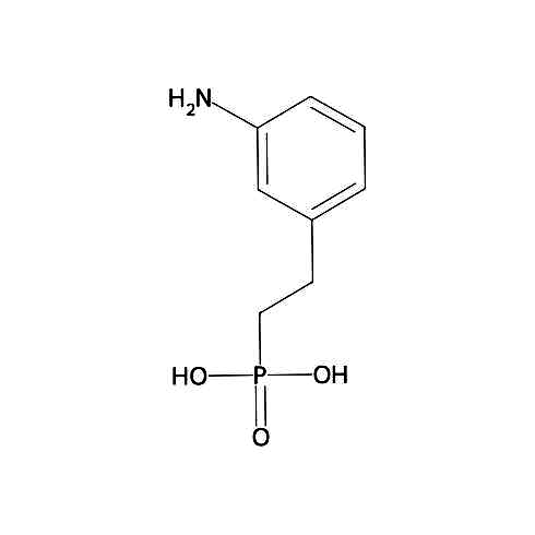 Nc1cccc(CCP(=O)(O)O)c1